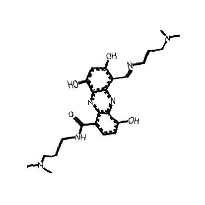 CN(C)CCCN=Cc1c(O)cc(O)c2nc3c(C(=O)NCCCN(C)C)ccc(O)c3nc12